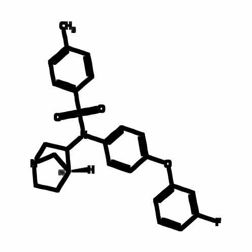 Cc1ccc(S(=O)(=O)N(c2ccc(Oc3cccc(F)c3)cc2)C2CN3CC[C@H]2C3)cc1